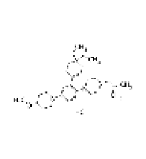 CCC1(CC)CC=C(c2cc(N3CCC(OC)CC3)ccc2N2CCN(CC(C)C)CC2)CC1.Cl